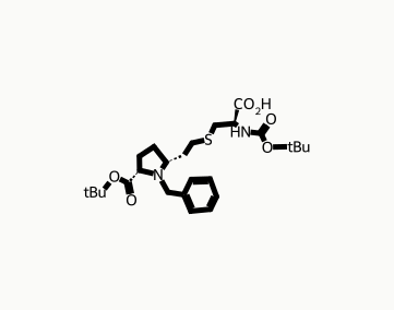 CC(C)(C)OC(=O)N[C@@H](CSCC[C@H]1CC[C@@H](C(=O)OC(C)(C)C)N1Cc1ccccc1)C(=O)O